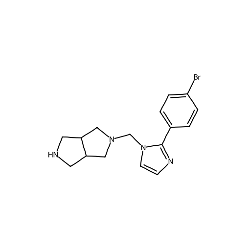 Brc1ccc(-c2nccn2CN2CC3CNCC3C2)cc1